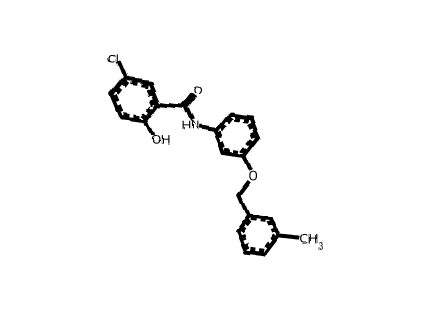 Cc1cccc(COc2cccc(NC(=O)c3cc(Cl)ccc3O)c2)c1